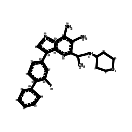 Bc1c(C(C)NC2CCOCC2)nc2c(-c3ccc(-c4ccccc4)c(F)c3)cnn2c1N